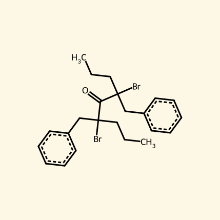 CCCC(Br)(Cc1ccccc1)C(=O)C(Br)(CCC)Cc1ccccc1